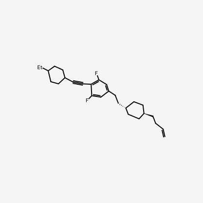 C=CCC[C@H]1CC[C@H](CCc2cc(F)c(C#CC3CCC(CC)CC3)c(F)c2)CC1